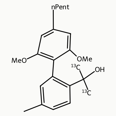 CCCCCc1cc(OC)c(-c2cc(C)ccc2C([13CH3])([13CH3])O)c(OC)c1